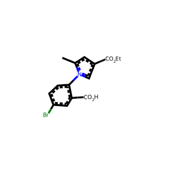 CCOC(=O)c1cc(C)n(-c2ccc(Br)cc2C(=O)O)c1